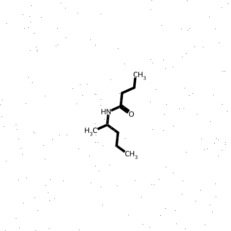 CCCC(=O)NC(C)CCC